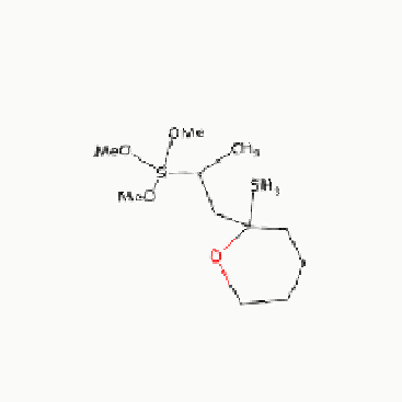 CO[Si](OC)(OC)C(C)CC1([SiH3])CCCCO1